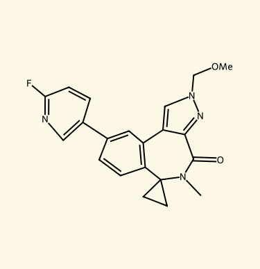 COCn1cc2c(n1)C(=O)N(C)C1(CC1)c1ccc(-c3ccc(F)nc3)cc1-2